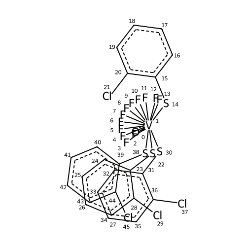 [O]=[V]([F])([F])([F])([F])([F])([F])([F])([F])([F])([F])([F])([F])([S]c1ccccc1Cl)([S]c1ccccc1Cl)([S]c1ccccc1Cl)[S]c1ccccc1Cl